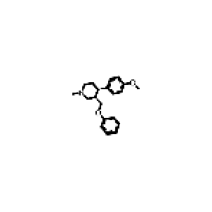 COc1ccc([C@@H]2CCN(C)C[C@@H]2COc2ccccc2)cc1